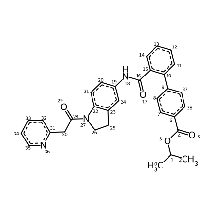 CC(C)OC(=O)c1ccc(-c2ccccc2C(=O)Nc2ccc3c(c2)CCN3C(=O)Cc2ccccn2)cc1